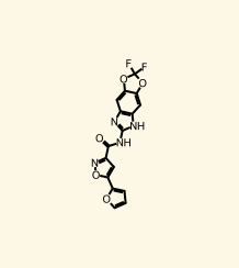 O=C(Nc1nc2cc3c(cc2[nH]1)OC(F)(F)O3)c1cc(-c2ccco2)on1